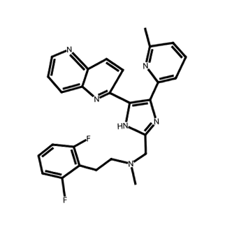 Cc1cccc(-c2nc(CN(C)CCc3c(F)cccc3F)[nH]c2-c2ccc3ncccc3n2)n1